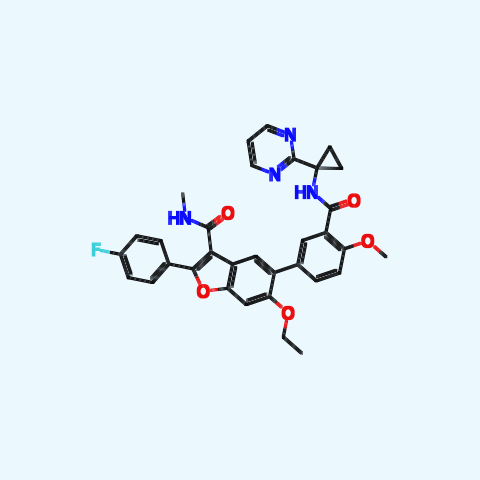 CCOc1cc2oc(-c3ccc(F)cc3)c(C(=O)NC)c2cc1-c1ccc(OC)c(C(=O)NC2(c3ncccn3)CC2)c1